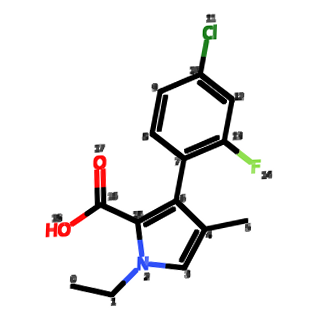 CCn1cc(C)c(-c2ccc(Cl)cc2F)c1C(=O)O